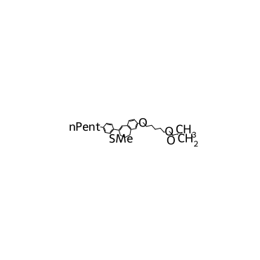 C=C(C)C(=O)OCCCCCOc1ccc2c(c1)CCCC(c1ccc(CCCCC)cc1SC)=C2